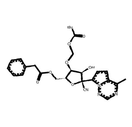 Cc1ncnn2c([C@]3(C#N)O[C@H](COC(=O)Cc4ccccc4)[C@@H](OCOC(=O)C(C)(C)C)[C@H]3O)ccc12